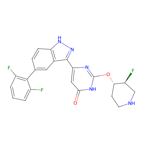 O=c1cc(-c2n[nH]c3ccc(-c4c(F)cccc4F)cc23)nc(O[C@H]2CCNC[C@@H]2F)[nH]1